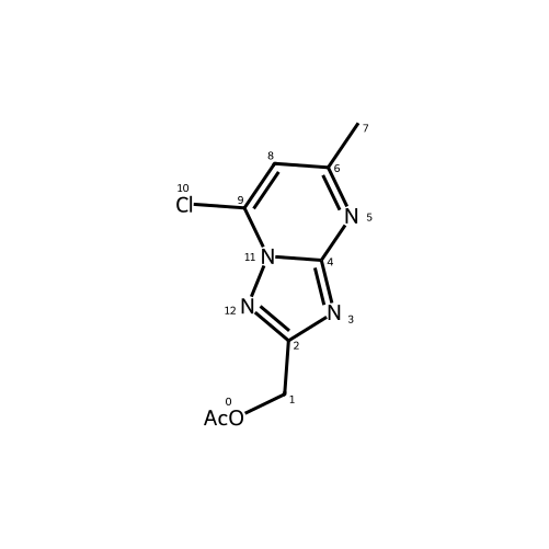 CC(=O)OCc1nc2nc(C)cc(Cl)n2n1